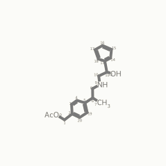 CC(=O)OCc1ccc(C(C)CNCC(O)c2ccccc2)cc1